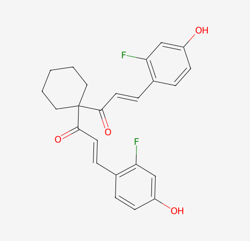 O=C(/C=C/c1ccc(O)cc1F)C1(C(=O)/C=C/c2ccc(O)cc2F)CCCCC1